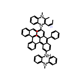 C/C=C\C1=C(C)N(C)c2ccccc2N1c1ccc2c(-c3ccccc3-c3cccc4ccccc34)c3cc(Nc4ccccc4N(C)c4ccccc4)ccc3c(-c3ccccc3)c2c1